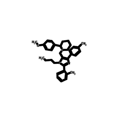 CCCCn1c(-c2ccccc2C)nc(-c2ccc(C)cc2)c1CN1CCCCC1c1ccc(OC)cc1